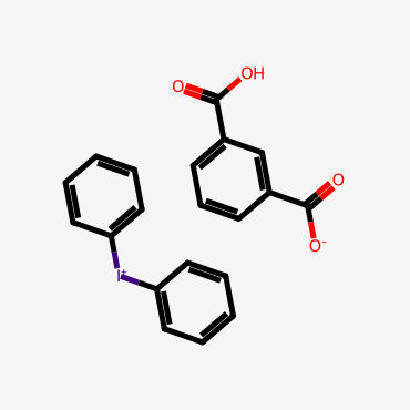 O=C([O-])c1cccc(C(=O)O)c1.c1ccc([I+]c2ccccc2)cc1